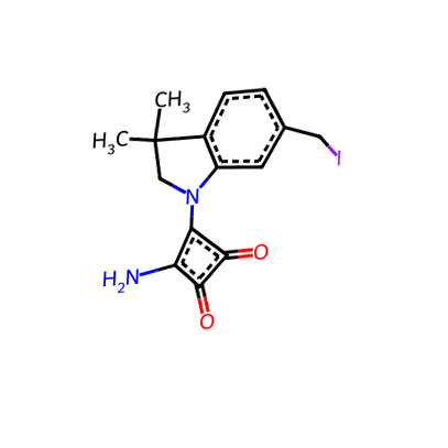 CC1(C)CN(c2c(N)c(=O)c2=O)c2cc(CI)ccc21